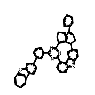 C1=CCCC(c2nc(-c3cccc(-c4ccc5c(c4)OC4=CC5C=CC=C4)c3)nc(-c3cccc4sc5ccc(C6C=CC(c7ccccc7)=CC6)cc5c34)n2)=C1